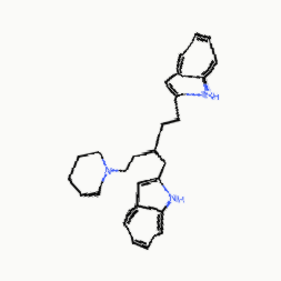 c1ccc2[nH]c(CCC(CCN3CCCCC3)Cc3cc4ccccc4[nH]3)cc2c1